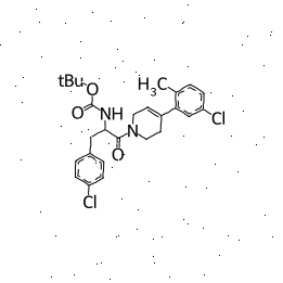 Cc1ccc(Cl)cc1C1=CCN(C(=O)C(Cc2ccc(Cl)cc2)NC(=O)OC(C)(C)C)CC1